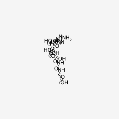 CCC(C)(O)CC(=O)SCCNC(=O)CCNC(=O)[C@H](O)C(C)(C)COP(=O)(O)OP(=O)(O)OC[C@H]1O[C@@H](n2cnc3c(N)ncnc32)[C@H](O)[C@@H]1OP(=O)(O)O